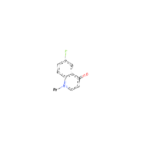 CC(C)n1ccc(=O)c2cc(F)ccc21